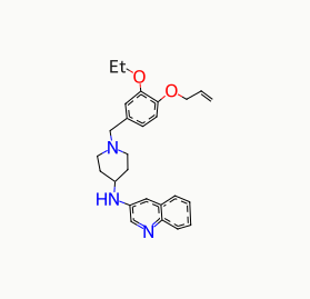 C=CCOc1ccc(CN2CCC(Nc3cnc4ccccc4c3)CC2)cc1OCC